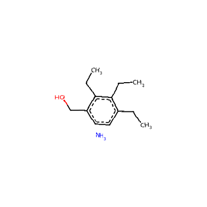 CCc1ccc(CO)c(CC)c1CC.N